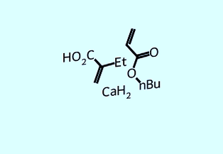 C=C(CC)C(=O)O.C=CC(=O)OCCCC.[CaH2]